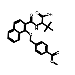 COC(=O)c1ccc(COc2c(C(=O)NC(C(=O)O)C(C)(C)C)ccc3ccccc23)cc1